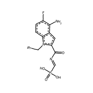 CC(C)Cn1c(C(=O)/N=C/P(=O)(O)O)cc2c(N)c(F)ccc21